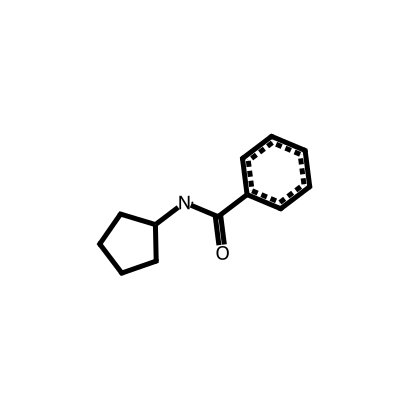 O=C([N]C1CCCC1)c1ccccc1